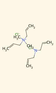 C=CCN(Cl)CC=C.C=CC[N+](C)(C)CC=C.[Cl-]